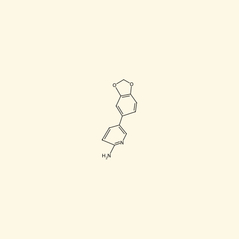 Nc1ccc(-c2ccc3c(c2)OCO3)cn1